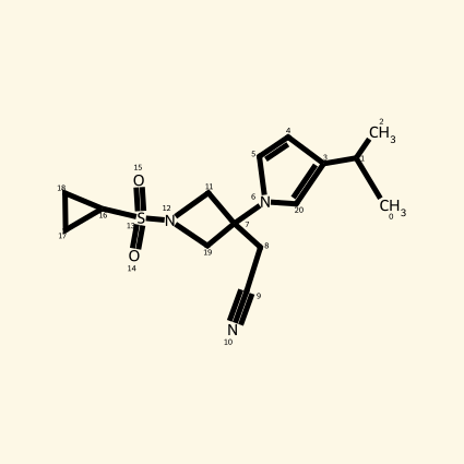 CC(C)c1ccn(C2(CC#N)CN(S(=O)(=O)C3CC3)C2)c1